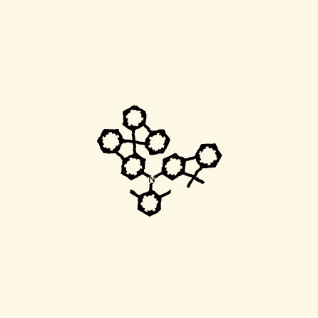 Cc1cccc(C)c1N(c1ccc2c(c1)C(C)(C)c1ccccc1-2)c1ccc2c(c1)C1(c3ccccc3-c3ccccc31)c1ccccc1-2